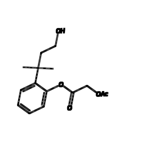 CC(=O)OCC(=O)Oc1ccccc1C(C)(C)CCO